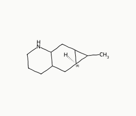 CC1C2CC3NCCCC3C[C@H]12